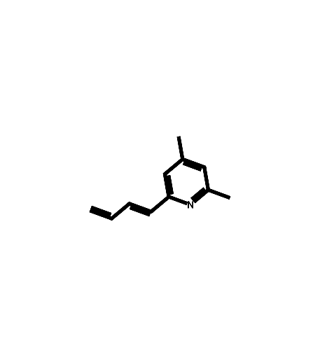 C=C/C=C/c1cc(C)cc(C)n1